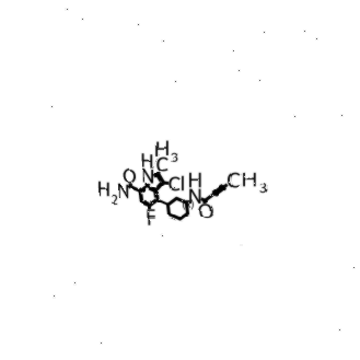 CC#CC(=O)N[C@@H]1CCCC(c2c(F)cc(C(N)=O)c3[nH]c(C)c(Cl)c23)C1